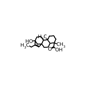 CCC1=CC23CCC4C(C)(C(=O)O)CCCC4(C)C2CCC1(O)C3